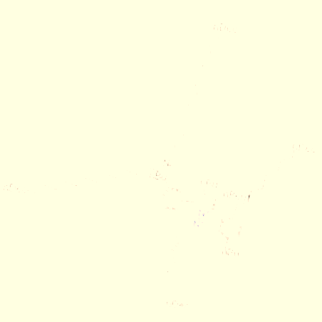 CCCCCCCCCCCCCCC=CCCc1ccc(CCCC)cc1C1=C(CCCC)C(CCCCC)=C(c2cc(CCCC)ccc2CCC=CCCCCCCCCCCCCCC)[N+]1=[N-].CCCCCCCCCCCCCCCCCCCCCC[CH2][Ni][CH2]CCCCCCCCCCCCCCCCCCCCCC